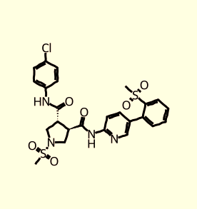 CS(=O)(=O)c1ccccc1-c1ccc(NC(=O)[C@H]2CN(S(C)(=O)=O)C[C@@H]2C(=O)Nc2ccc(Cl)cc2)nc1